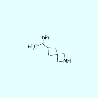 CCCC(C)C1CC2(CNC2)C1